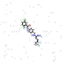 C=C/C(F)=C\C=C(/N)NC[C@H]1CC[C@H](NC(=O)c2cc(Cl)ccc2Cl)CC1